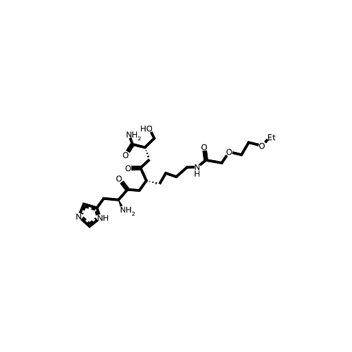 CCOCCOCC(=O)NCCCC[C@H](CC(=O)[C@@H](N)Cc1cnc[nH]1)C(=O)C[C@@H](CO)C(N)=O